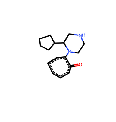 O=c1cccccc1N1CCNCC1C1CCCC1